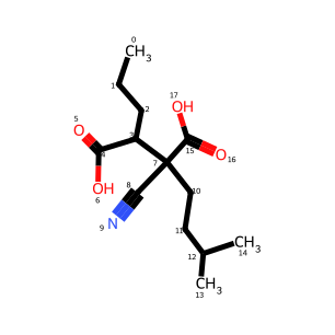 CCCC(C(=O)O)C(C#N)(CCC(C)C)C(=O)O